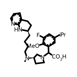 COc1c(F)cc(C(C)C)cc1C(C(=O)O)N1CC[C@@H](N(C)CCCC[C@@H]2CCc3cccnc3N2)C1